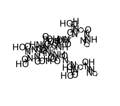 CN(Cc1nc2ccccc2[nH]1)C(=O)c1ccc2c(c1)CN(CCCNC(=O)CC[C@H](NC(=O)CC[C@H](NC(=O)[C@H](CCC(=O)O)NC(=O)[C@H](CCC(=O)O)NC(=O)CN1CCN(CC(=O)O)CCN(CC(=O)O)CCN(CC(=O)O)CC1)C(=O)N[C@@H](CCC(=O)NCCCN1Cc3cc(C(=O)N(C)Cc4nc5ccccc5[nH]4)ccc3N[C@@H](CC(=O)O)C1=O)C(=O)O)C(=O)O)C(=O)[C@H](CC(=O)O)N2